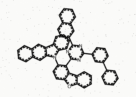 c1ccc(-c2cccc(-c3nc(-c4ccc5ccccc5c4)nc(-c4c(-n5c6ccccc6c6cc7ccccc7cc65)ccc5oc6ccccc6c45)n3)c2)cc1